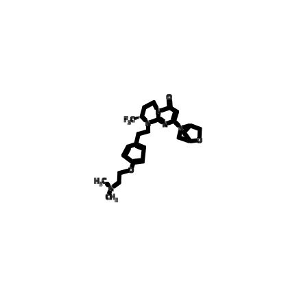 CN(C)CCOc1ccc(CCN2c3nc(N4CC5CC4CO5)cc(=O)n3CC[C@H]2C(F)(F)F)cc1